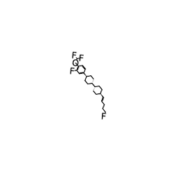 FCCCC=C[C@H]1CC[C@H]([C@H]2CC[C@H](c3ccc(OC(F)F)c(F)c3)CC2)CC1